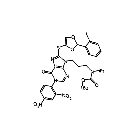 CC(C)N(CCCn1c(SC2=COC(c3ccccc3I)O2)nc2c(=O)n(-c3ccc([N+](=O)[O-])cc3[N+](=O)[O-])cnc21)C(=O)OC(C)(C)C